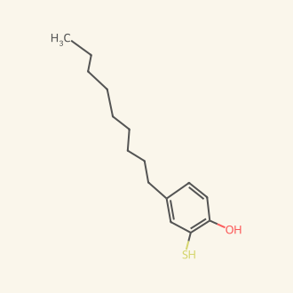 CCCCCCCCCc1ccc(O)c(S)c1